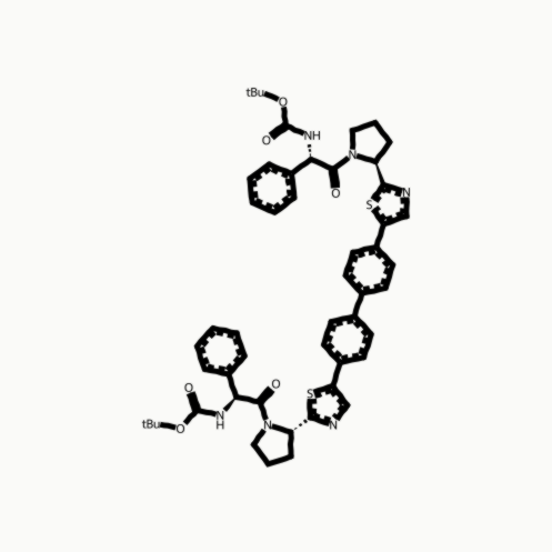 CC(C)(C)OC(=O)N[C@H](C(=O)N1CCC[C@H]1c1ncc(-c2ccc(-c3ccc(-c4cnc([C@@H]5CCCN5C(=O)[C@@H](NC(=O)OC(C)(C)C)c5ccccc5)s4)cc3)cc2)s1)c1ccccc1